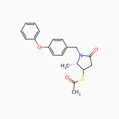 CC(=O)S[C@@H]1CC(=O)N(Cc2ccc(Oc3ccccc3)cc2)[C@H]1C